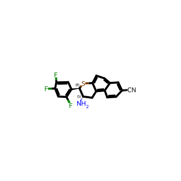 N#Cc1ccc2c3c(ccc2c1)S[C@H](c1cc(F)c(F)cc1F)[C@@H](N)C3